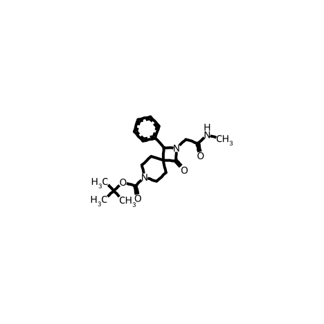 CNC(=O)CN1C(=O)C2(CCN(C(=O)OC(C)(C)C)CC2)C1c1ccccc1